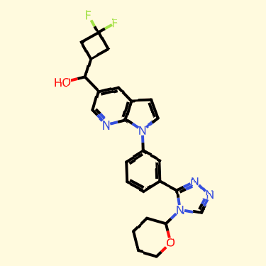 OC(c1cnc2c(ccn2-c2cccc(-c3nncn3C3CCCCO3)c2)c1)C1CC(F)(F)C1